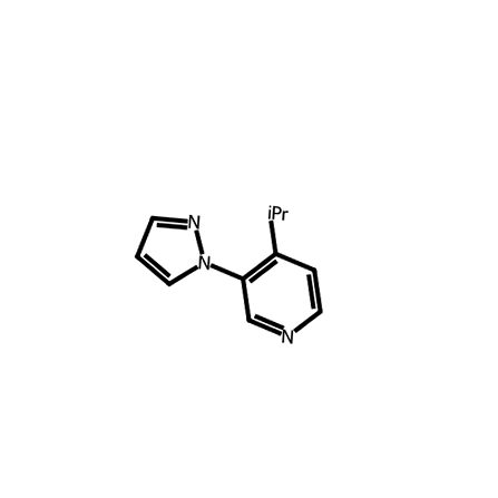 CC(C)c1ccncc1-n1cccn1